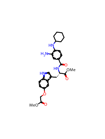 COC(=O)COc1ccc2[nH]cc(C[C@H](NC(=O)c3ccc(NC4CCCCC4)c(N)c3)C(=O)OC)c2c1